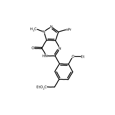 CCCc1nn(C)c2c(=O)[nH]c(-c3cc(CC(=O)OCC)ccc3OCC)nc12